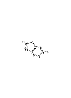 Cc1ccc2c(c1)CN(C)[Te]2